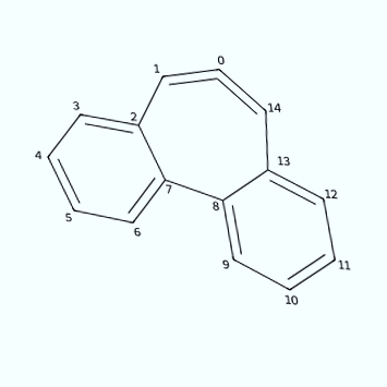 C1=Cc2ccccc2-c2ccccc2C=1